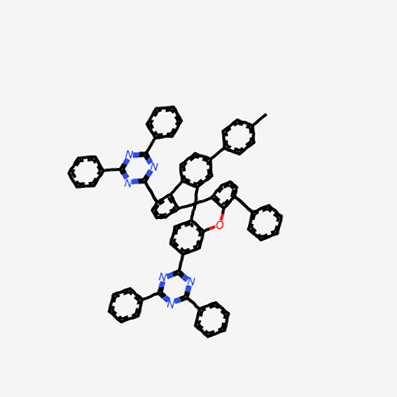 Cc1ccc(-c2ccc3c(c2)C2(c4ccc(-c5nc(-c6ccccc6)nc(-c6ccccc6)n5)cc4Oc4c(-c5ccccc5)cccc42)c2cccc(-c4nc(-c5ccccc5)nc(-c5ccccc5)n4)c2-3)cc1